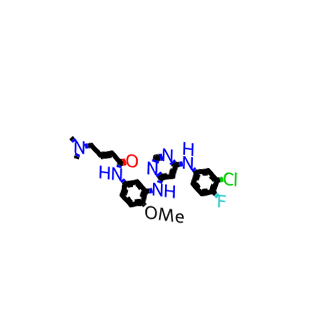 COc1ccc(NC(=O)/C=C/CN(C)C)cc1Nc1cc(Nc2ccc(F)c(Cl)c2)ncn1